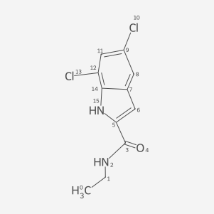 CCNC(=O)c1cc2cc(Cl)cc(Cl)c2[nH]1